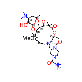 CO[C@]1(C)C[C@@H](C)CN(C)[C@@H](C(=O)N2CCN(C(=O)NC(C)C)CC2)[C@H](C)OC(=O)C(C)(C)C(=O)[C@H](C)[C@H]1O[C@@H]1O[C@H](C)C[C@H](N(C)C)[C@H]1O